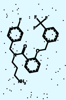 NCCCN(Cc1ccc(F)cc1)C(=O)c1ccccc1OCc1cccc(C(F)(F)F)c1